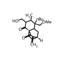 C=C1C(=O)[C@]23CC[C@H]1CC2[C@@](CCCC)(COC)C(C)C(CO)C3=O